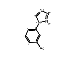 CC(=O)c1cccc(-n2cnnn2)c1